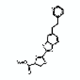 COC(=O)C1CSC(C2=NC3C=CC(CCc4cccnc4)=CC3S2)=N1